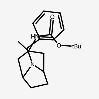 CC1(NC(=O)OC(C)(C)C)CC2CCC(C1)N2Cc1ccccc1